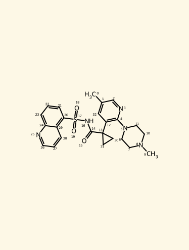 Cc1cnc(N2CCN(C)CC2)c(C2(C(=O)NS(=O)(=O)c3cccc4ncccc34)CC2)c1